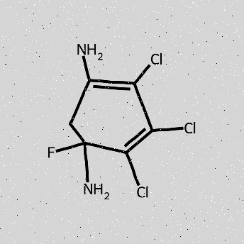 NC1=C(Cl)C(Cl)=C(Cl)C(N)(F)C1